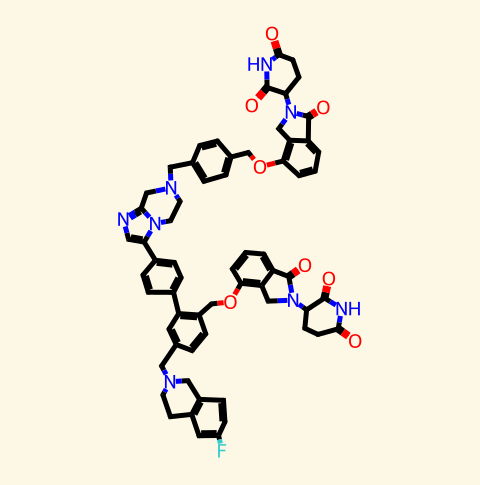 O=C1CCC(N2Cc3c(OCc4ccc(CN5CCn6c(-c7ccc(-c8cc(CN9CCc%10cc(F)ccc%10C9)ccc8COc8cccc9c8CN(C8CCC(=O)NC8=O)C9=O)cc7)cnc6C5)cc4)cccc3C2=O)C(=O)N1